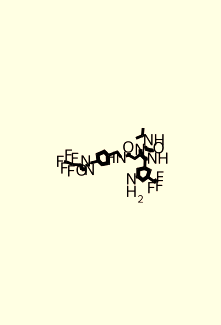 CC(C)Nc1nc(CC(=O)NCc2ccc(-c3noc(C(F)(F)C(F)(F)F)n3)cc2)c(-c2cc(N)cc(C(F)(F)F)c2)[nH]c1=O